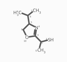 CC(S)C1=NC(C(C)C)CO1